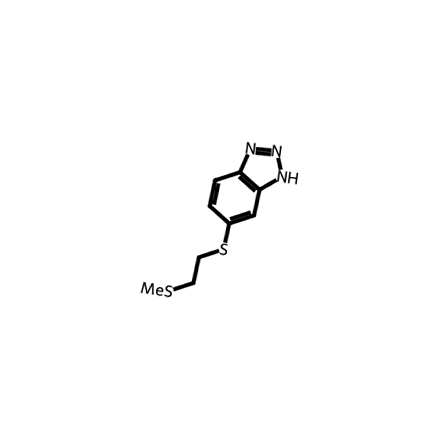 CSCCSc1ccc2nn[nH]c2c1